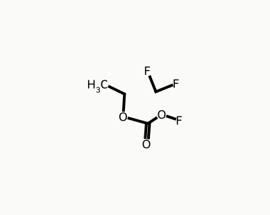 CCOC(=O)OF.FCF